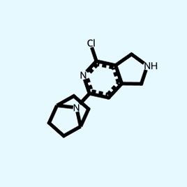 Clc1nc(N2C3CCC2CC3)cc2c1CNC2